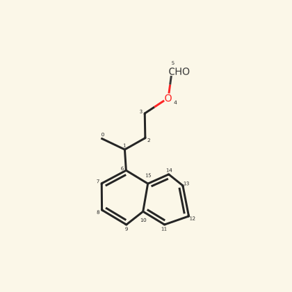 CC(CCOC=O)c1cccc2ccccc12